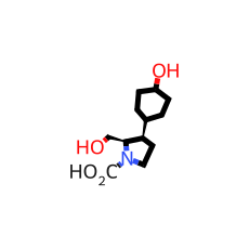 O=C(O)N1CC[C@H](C2CCC(O)CC2)[C@@H]1CO